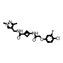 Cc1nn(C)cc1CNC(=O)C12CC(NC(=O)COc3ccc(Cl)c(F)c3)(C1)C2